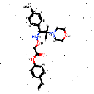 C=Cc1ccc(OC(=O)CONC(c2ccc(SC)cc2)C(C)(C)N2CCOCC2)cc1